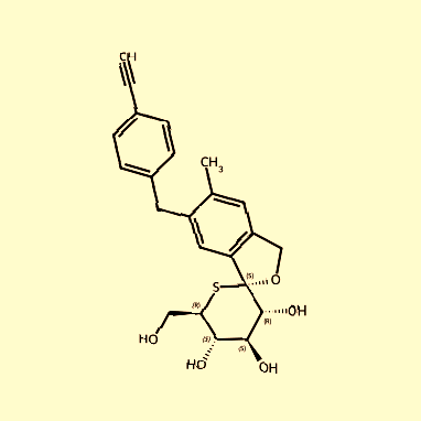 C#Cc1ccc(Cc2cc3c(cc2C)CO[C@]32S[C@H](CO)[C@@H](O)[C@H](O)[C@H]2O)cc1